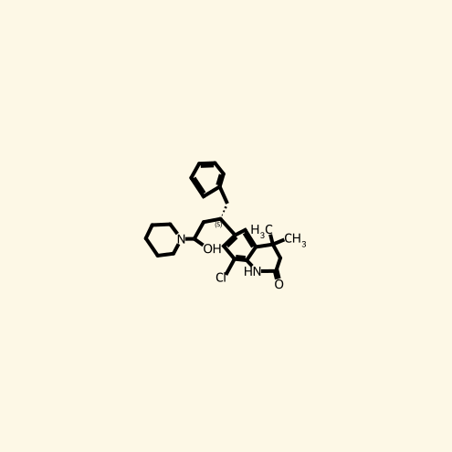 CC1(C)CC(=O)Nc2c(Cl)cc([C@@H](Cc3ccccc3)CC(O)N3CCCCC3)cc21